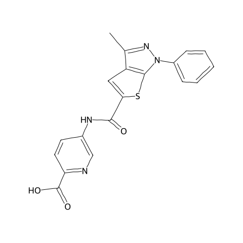 Cc1nn(-c2ccccc2)c2sc(C(=O)Nc3ccc(C(=O)O)nc3)cc12